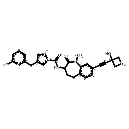 CN1C(=O)C(NC(=O)n2cc(Cc3cccc(F)n3)cn2)CCc2ccc(C#CC3(O)COC3)cc21